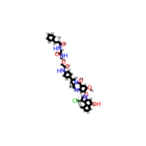 COc1cc2c(cc1ON1C[C@@H](CCl)c3c1cc(O)c1cccc(C)c31)N=C[C@@H]1CC(c3ccc(NC(=O)COCNC(=O)CNC(=O)[C@@H](C)Cc4ccccc4)cc3)=CN1C2=O